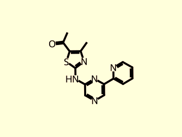 CC(=O)c1sc(Nc2cncc(-c3ccccn3)n2)nc1C